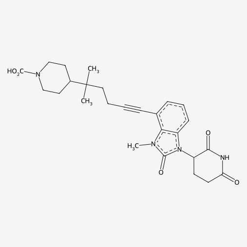 Cn1c(=O)n(C2CCC(=O)NC2=O)c2cccc(C#CCCC(C)(C)C3CCN(C(=O)O)CC3)c21